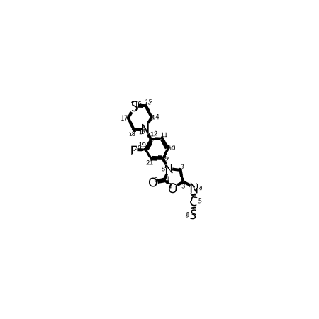 O=C1OC(N=C=S)CN1c1ccc(N2CCSCC2)c(F)c1